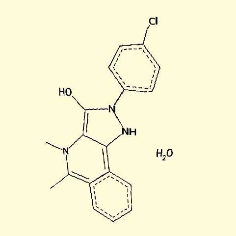 CC1=c2ccccc2=C2NN(c3ccc(Cl)cc3)C(O)=C2N1C.O